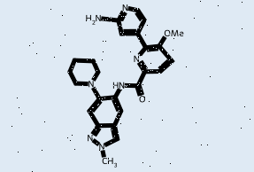 COc1ccc(C(=O)Nc2cc3cn(C)nc3cc2N2CCCCC2)nc1-c1ccnc(N)c1